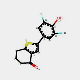 O=C1CCCc2sc(-c3cc(F)c(O)c(F)c3)cc21